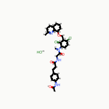 CC(=O)Nc1ccc(C=CC(=O)NCC(=O)N(C)c2ccc(Cl)c(COc3cccc4ccc(C)nc34)c2Cl)cc1.Cl